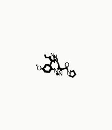 CCc1nnn2c1-c1cc(OC)ccc1-n1cnc(C(=O)N3CCCC3)c1C2